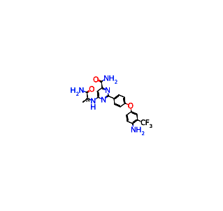 C[C@H](Nc1cc(C(N)=O)nc(-c2ccc(Oc3ccc(N)c(C(F)(F)F)c3)cc2)n1)C(N)=O